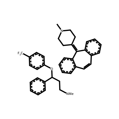 CN1CCC(=C2c3ccccc3C=Cc3ccccc32)CC1.CNCCC(Oc1ccc(C(F)(F)F)cc1)c1ccccc1